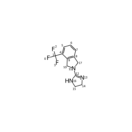 FC(F)(F)c1cccc2c1CN(C1=NCCN1)C2